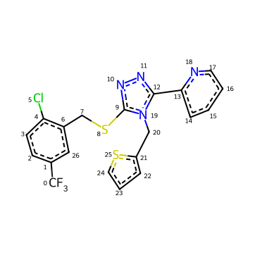 FC(F)(F)c1ccc(Cl)c(CSc2nnc(-c3ccccn3)n2Cc2cccs2)c1